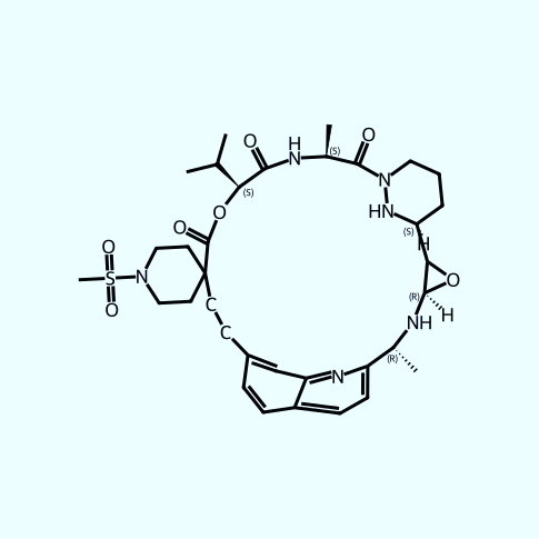 CC(C)[C@@H]1OC(=O)C2(CCc3ccc4ccc(nc4c3)[C@@H](C)N[C@@H]3OC3[C@@H]3CCCN(N3)C(=O)[C@H](C)NC1=O)CCN(S(C)(=O)=O)CC2